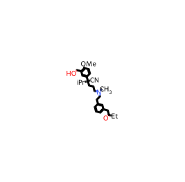 CCC(=O)Cc1cccc(CCN(C)CCCC(C#N)(c2ccc(OC)c(CO)c2)C(C)C)c1